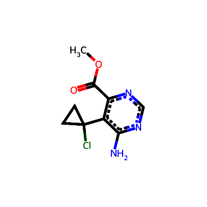 COC(=O)c1ncnc(N)c1C1(Cl)CC1